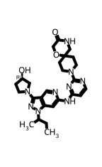 CCC(C)n1nc(N2CC[C@@H](O)C2)c2cnc(Nc3ccnc(N4CCC5(CC4)CNC(=O)CO5)n3)cc21